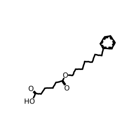 O=C(O)CCCCC(=O)OCCCCCCCc1ccccc1